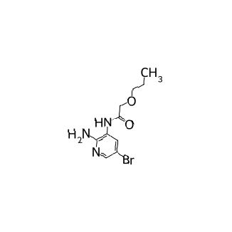 CCCOCC(=O)Nc1cc(Br)cnc1N